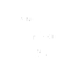 CC(=O)Nc1ccc(Oc2cc[n+]([O-])c(Cl)c2)c(F)c1.Cl